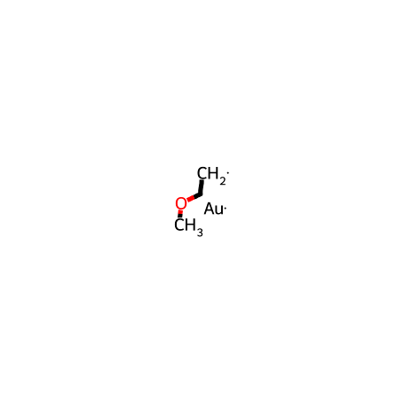 [Au].[CH2]COC